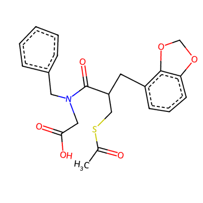 CC(=O)SCC(Cc1cccc2c1OCO2)C(=O)N(CC(=O)O)Cc1ccccc1